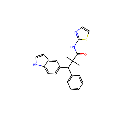 CC(C)(C(=O)Nc1nccs1)C(c1ccccc1)c1ccc2[nH]ccc2c1